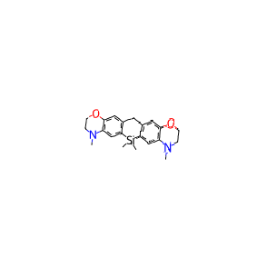 CN1CCOc2cc3c(cc21)[Si](C)(C)c1cc2c(cc1C3)OCCN2C